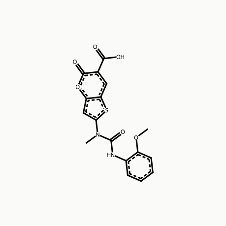 COc1ccccc1NC(=O)N(C)c1cc2oc(=O)c(C(=O)O)cc2s1